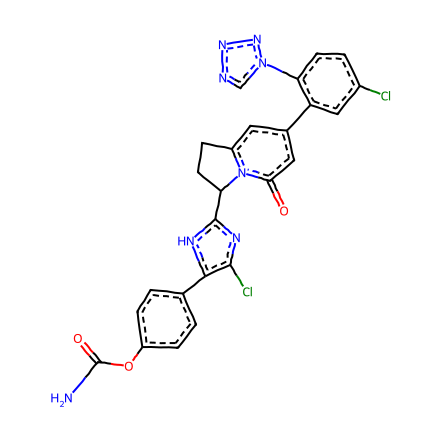 NC(=O)Oc1ccc(-c2[nH]c(C3CCc4cc(-c5cc(Cl)ccc5-n5cnnn5)cc(=O)n43)nc2Cl)cc1